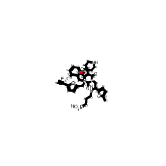 C#Cc1ccc(C[N+]2(Cc3c(F)cccc3C(F)(F)F)C(=O)N(CC(NCCCC(=O)O)c3ccc(C)o3)C(=O)C3=C2COC32CCNCC2)o1